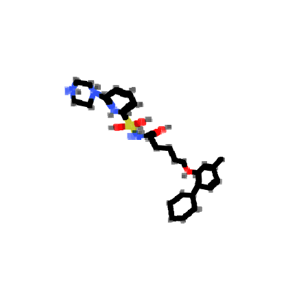 Cc1ccc(C2CCCCC2)c(OCCCCC(=O)NS(=O)(=O)c2cccc(N3CCNCC3)n2)c1